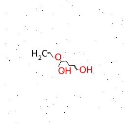 C=CCOC(CO)CCC=CO